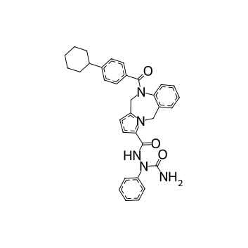 NC(=O)N(NC(=O)c1ccc2n1Cc1ccccc1N(C(=O)c1ccc(C3CCCCC3)cc1)C2)c1ccccc1